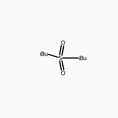 [CH2]C(CC)S(=O)(=O)C(C)CC